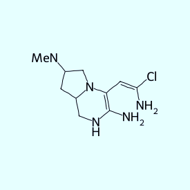 CNC1CC2CNC(N)=C(/C=C(\N)Cl)N2C1